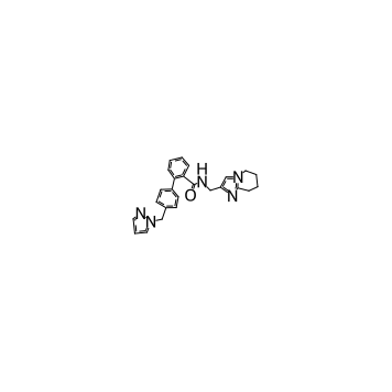 O=C(NCc1cn2c(n1)CCCC2)c1ccccc1-c1ccc(Cn2cccn2)cc1